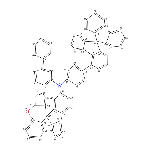 c1ccc(-c2cccc(N(c3ccc(-c4cccc5c4-c4ccccc4C5(c4ccccc4)c4ccccc4)cc3)c3ccc4c(c3)C3(c5ccccc5Oc5ccccc53)c3ccccc3-4)c2)cc1